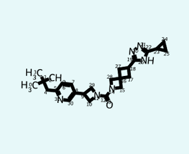 CC(C)(C)Cc1ccc(C2CN(C(=O)N3CC4(CC(c5nnc(C6CC6)[nH]5)C4)C3)C2)cn1